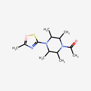 CC(=O)N1C(C)C(C)N(c2nc(C)bs2)C(C)C1C